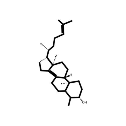 CC(C)=CCC[C@@H](C)[C@H]1CCC2=C3CCC4C(C)[C@@H](O)CC[C@]4(C)[C@H]3CC[C@@]21C